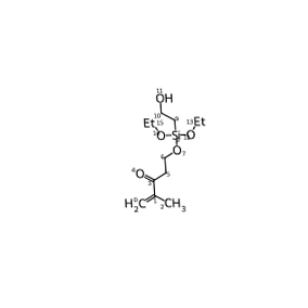 C=C(C)C(=O)CCO[Si](CCO)(OCC)OCC